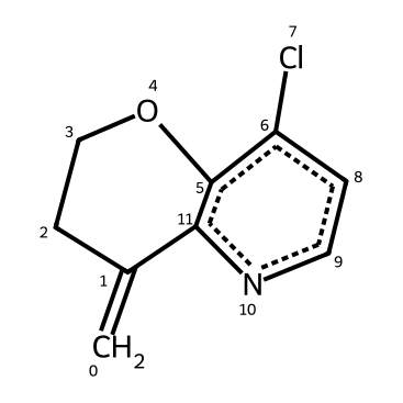 C=C1CCOc2c(Cl)ccnc21